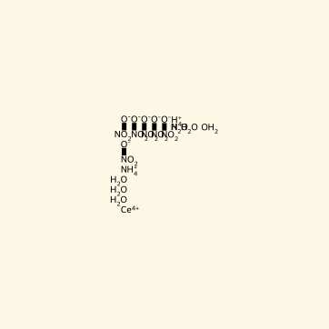 O.O.O.O.O.O.O=[N+]([O-])[O-].O=[N+]([O-])[O-].O=[N+]([O-])[O-].O=[N+]([O-])[O-].O=[N+]([O-])[O-].O=[N+]([O-])[O-].[Ce+4].[NH4+].[NH4+]